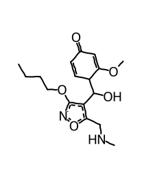 CCCCOc1noc(CNC)c1C(O)C1C=CC(=O)C=C1OC